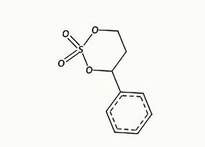 O=S1(=O)OCCC(c2ccccc2)O1